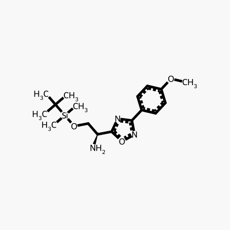 COc1ccc(-c2noc([C@@H](N)CO[Si](C)(C)C(C)(C)C)n2)cc1